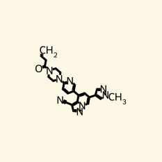 C=CCC(=O)N1CCN(c2ccc(-c3cc(-c4cnn(C)c4)cn4ncc(C#N)c34)cn2)CC1